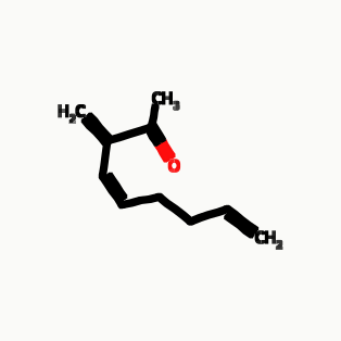 C=CCC/C=C\C(=C)C(C)=O